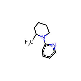 FC(F)(F)C1CCCCN1c1ccccn1